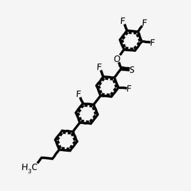 CCCc1ccc(-c2ccc(-c3cc(F)c(C(=S)Oc4cc(F)c(F)c(F)c4)c(F)c3)c(F)c2)cc1